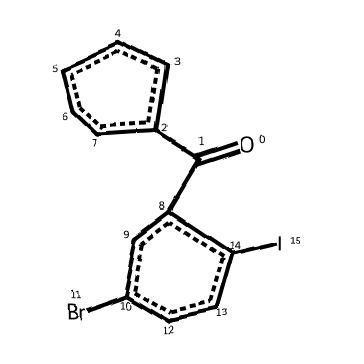 O=C(c1ccccc1)c1cc(Br)ccc1I